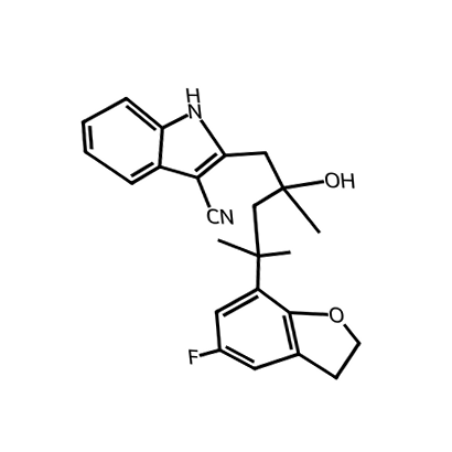 CC(O)(Cc1[nH]c2ccccc2c1C#N)CC(C)(C)c1cc(F)cc2c1OCC2